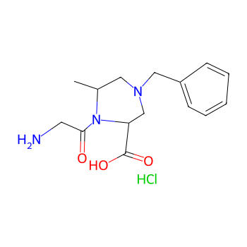 CC1CN(Cc2ccccc2)CC(C(=O)O)N1C(=O)CN.Cl